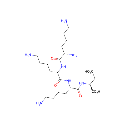 NCCCC[C@H](NC(=O)[C@H](CCCCN)NC(=O)[C@@H](N)CCCCN)C(=O)N[C@@H](CC(=O)O)C(=O)O